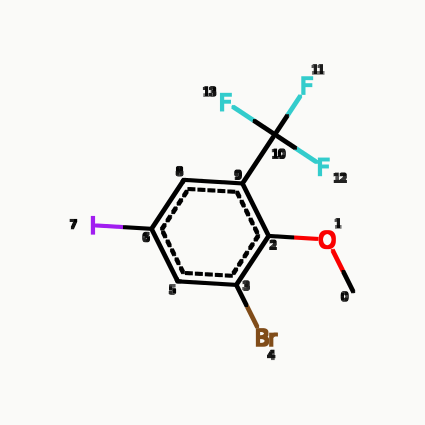 COc1c(Br)cc(I)cc1C(F)(F)F